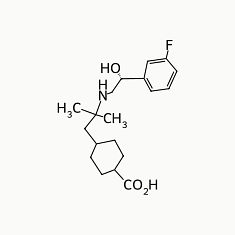 CC(C)(CC1CCC(C(=O)O)CC1)NC[C@H](O)c1cccc(F)c1